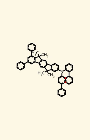 CC1(C)c2cc(N(c3ccc(-c4ccccc4)cc3)c3ccccc3-c3ccccc3)ccc2-c2cc3c(cc21)-c1cc(-c2ccccc2)cc(-c2ccccc2)c1C3(C)C